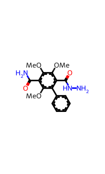 COc1c(OC)c(C(=O)NN)c(-c2ccccc2)c(OC)c1C(N)=O